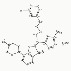 CCN1CCN(c2cccc3c2CN([C@H](CCCNc2nccc(I)n2)c2ccc(OC)c(OC)c2)C3=O)CC1